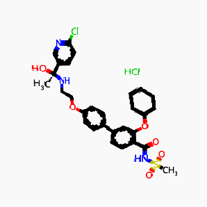 C[C@@](O)(NCCOc1ccc(-c2ccc(C(=O)NS(C)(=O)=O)c(OC3CCCCC3)c2)cc1)c1ccc(Cl)nc1.Cl